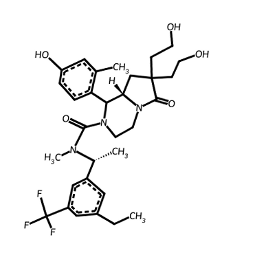 CCc1cc([C@@H](C)N(C)C(=O)N2CCN3C(=O)C(CCO)(CCO)C[C@H]3C2c2ccc(O)cc2C)cc(C(F)(F)F)c1